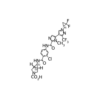 Cn1c(-c2cn([C@@H]3CC3(F)F)nc2C(F)(F)F)cnc1C(=O)Nc1ccc(C(=O)N[C@H]2[C@@H]3CN(C(=O)O)C[C@@H]32)c(Cl)c1